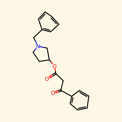 O=C(CC(=O)c1ccccc1)OC1CCN(Cc2ccccc2)C1